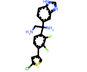 NCC(N)(c1ccc2[nH]cnc2c1)c1ccc(-c2csc(Cl)c2)c(F)c1F